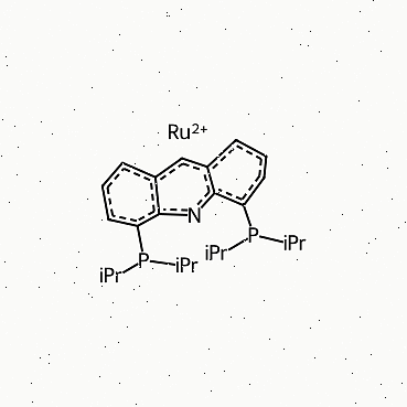 CC(C)P(c1cccc2cc3cccc(P(C(C)C)C(C)C)c3nc12)C(C)C.[Ru+2]